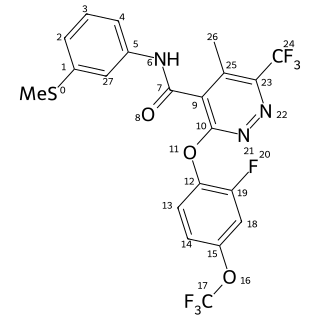 CSc1cccc(NC(=O)c2c(Oc3ccc(OC(F)(F)F)cc3F)nnc(C(F)(F)F)c2C)c1